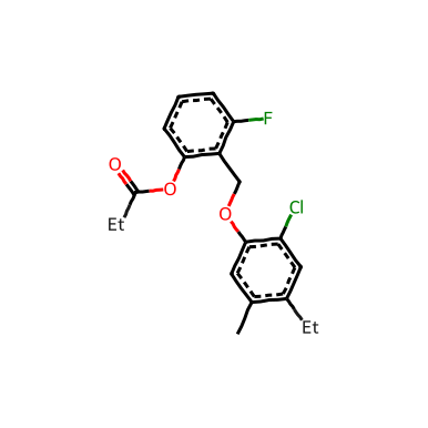 CCC(=O)Oc1cccc(F)c1COc1cc(C)c(CC)cc1Cl